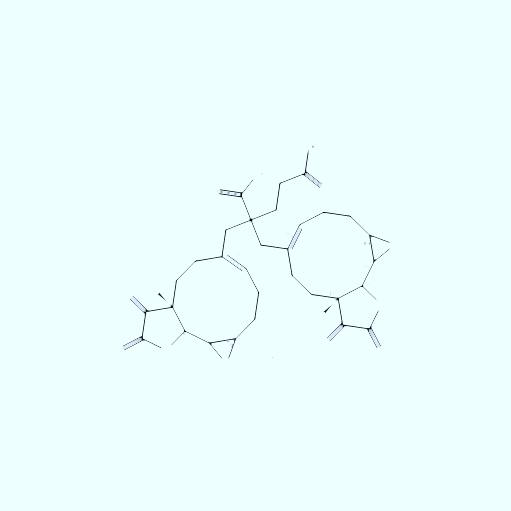 C=C1C(=O)O[C@H]2[C@H]1CC/C(CC(CCC(=O)O)(C/C1=C/CC[C@@]3(C)O[C@H]3[C@H]3OC(=O)C(=C)[C@@H]3CC1)C(=O)O)=C\CC[C@@]1(C)O[C@@H]21